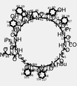 CCCC[C@H]1C(=O)N(C)CC(=O)N[C@@H](CC(=O)O)C(=O)N[C@@H](C(C)C)C(=O)N(C)[C@@H](Cc2ccccc2)C(=O)N[C@@H](Cc2ccc(O)cc2)C(=O)N2CCCC[C@@H]2C(=O)N[C@@H](Cc2c[nH]c3ccccc23)C(=O)N[C@@H](Cc2ccc(O)cc2)C(=O)N[C@@H](CC(C)C)C(=O)N[C@H](C(=O)NCC(N)=O)CSCC(=O)N[C@@H](Cc2ccccc2)C(=O)N(C)[C@@H](Cc2ccccc2)C(=O)N1C